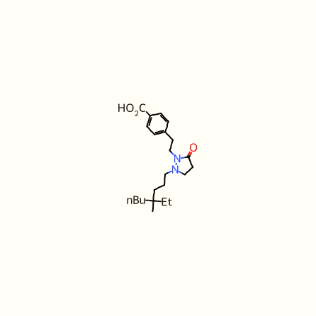 CCCCC(C)(CC)CCCN1CCC(=O)N1CCc1ccc(C(=O)O)cc1